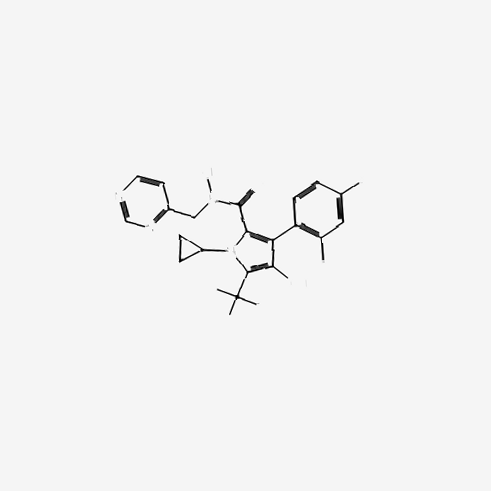 Cc1c(-c2ccc(Cl)cc2F)c(C(=O)N(C)Cc2ccncn2)n(C2CC2)c1C(F)(F)F